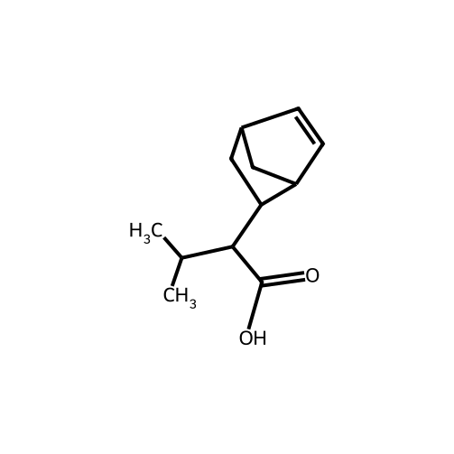 CC(C)C(C(=O)O)C1CC2C=CC1C2